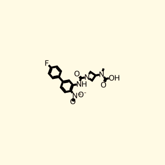 CN(C(=O)O)C1CN(C(=O)Nc2cc(-c3ccc(F)cc3)ccc2[N+](=O)[O-])C1